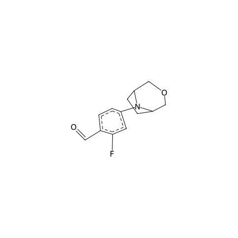 O=Cc1ccc(N2C3CCC2COC3)cc1F